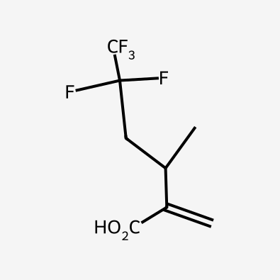 C=C(C(=O)O)C(C)CC(F)(F)C(F)(F)F